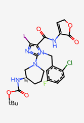 CC(C)(C)OC(=O)N[C@@H]1CCCN(c2nc(I)c(C(=O)NC3=CCOC3=O)n2Cc2cc(F)ccc2Cl)C1